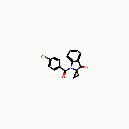 O=C(c1ccc(Cl)cc1)N1c2ccccc2C(=O)C12CC2